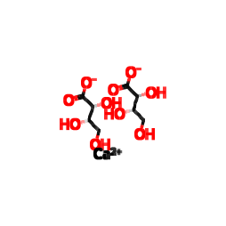 O=C([O-])[C@H](O)[C@@H](O)CO.O=C([O-])[C@H](O)[C@@H](O)CO.[Ca+2]